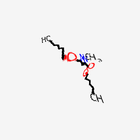 C#CCCCCCOCc1cc(C(=O)OCCCCCC#C)n(C)n1